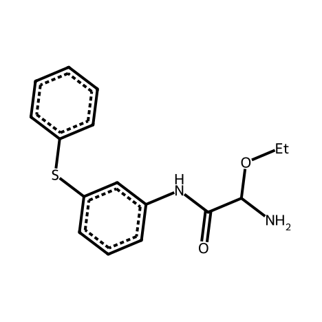 CCOC(N)C(=O)Nc1cccc(Sc2ccccc2)c1